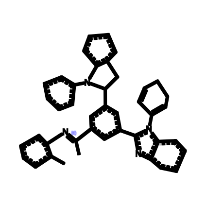 C/C(=N\c1ccccc1C)c1cc(-c2nc3ccccc3n2C2=CCCC=C2)cc(C2Cc3ccccc3N2c2ccccc2)c1